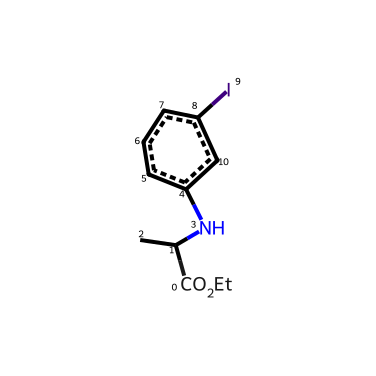 CCOC(=O)C(C)Nc1cccc(I)c1